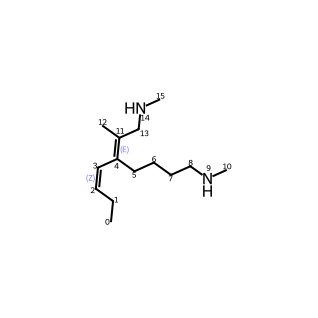 CC/C=C\C(CCCCNC)=C(/C)CNC